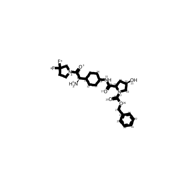 N[C@H](C(=O)N1CCC(F)(F)C1)C1CCC(NC(=O)C2C[C@@H](O)CN2C(=O)OCc2ccccc2)CC1